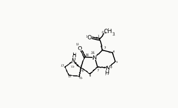 CC(=O)C1CCNC2CC3(CCCN3)C(=O)N21